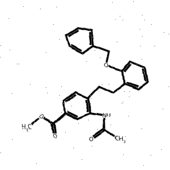 COC(=O)c1ccc(CCc2ccccc2OCc2ccccc2)c(NC(C)=O)c1